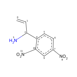 C=CC(N)c1ccc([N+](=O)[O-])cc1[N+](=O)[O-]